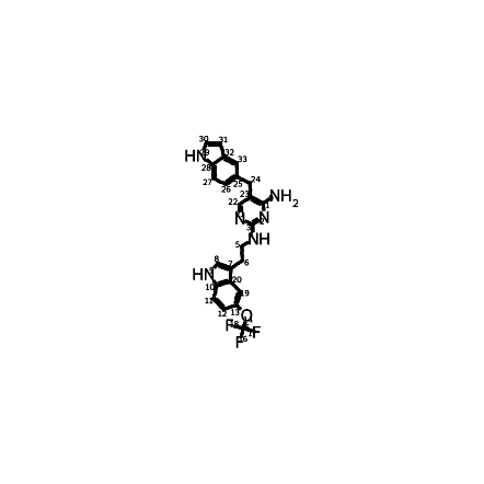 Nc1nc(NCCc2c[nH]c3ccc(OC(F)(F)F)cc23)ncc1Cc1ccc2[nH]ccc2c1